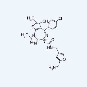 Cc1sc2c(c1C)C(c1ccc(Cl)cc1)=N[C@@H](CC(=O)NCc1coc(CN)c1)c1nnc(C)n1-2